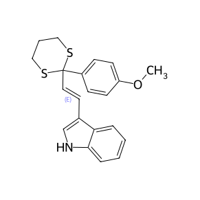 COc1ccc(C2(/C=C/c3c[nH]c4ccccc34)SCCCS2)cc1